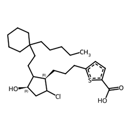 CCCCCC1(CCC2[C@@H](CCCc3ccc(C(=O)O)s3)C(Cl)C[C@H]2O)CCCCC1